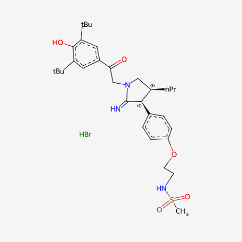 Br.CCC[C@@H]1CN(CC(=O)c2cc(C(C)(C)C)c(O)c(C(C)(C)C)c2)C(=N)[C@@H]1c1ccc(OCCNS(C)(=O)=O)cc1